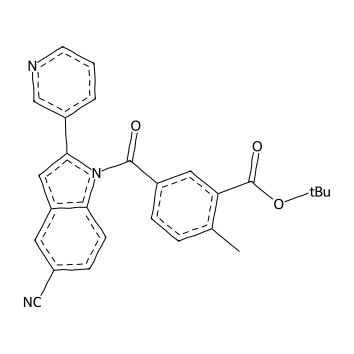 Cc1ccc(C(=O)n2c(-c3cccnc3)cc3cc(C#N)ccc32)cc1C(=O)OC(C)(C)C